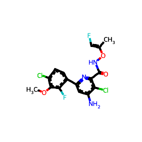 COc1c(Cl)ccc(-c2cc(N)c(Cl)c(C(=O)NOC(C)=CF)n2)c1F